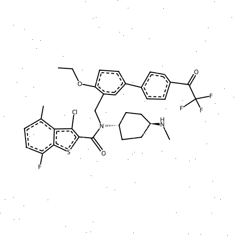 CCOc1ccc(-c2ccc(C(=O)C(F)(F)F)cc2)cc1CN(C(=O)c1sc2c(F)ccc(C)c2c1Cl)[C@H]1CC[C@H](NC)CC1